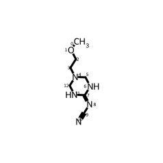 COCCN1CNC(=NC#N)NC1